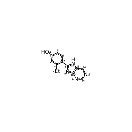 CCc1cc(O)ccc1-c1nc2ncncc2[nH]1